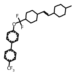 CC1CCC(/C=C/C2CCC(C(F)(F)Oc3ccc(-c4ccc(C(F)(F)F)cc4)cc3)CC2)CC1